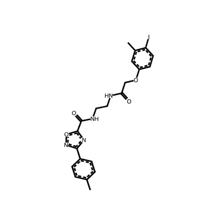 Cc1ccc(-c2noc(C(=O)NCCNC(=O)COc3ccc(I)c(C)c3)n2)cc1